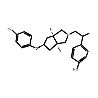 CC(CN1C[C@H]2C[C@@H](Oc3ccc(C#N)cc3)C[C@H]2C1)c1ccc(O)cn1